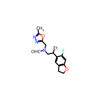 CCC(CN(C=O)Cc1nnc(C)o1)c1cc2c(cc1F)OCC2